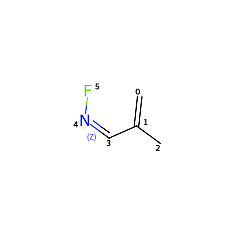 C=C(C)/C=N\F